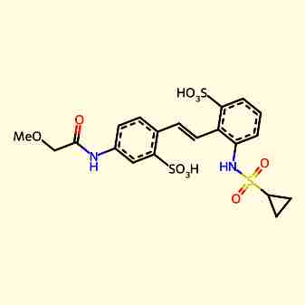 COCC(=O)Nc1ccc(C=Cc2c(NS(=O)(=O)C3CC3)cccc2S(=O)(=O)O)c(S(=O)(=O)O)c1